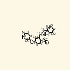 O=[S+]c1ccc(Oc2cccnc2)cc1CNCc1ccccn1